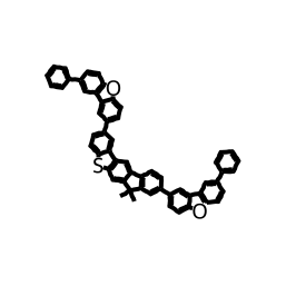 CC1(C)c2cc(-c3ccc4oc5ccc(-c6ccccc6)cc5c4c3)ccc2-c2cc3c(cc21)sc1ccc(-c2ccc4oc5ccc(-c6ccccc6)cc5c4c2)cc13